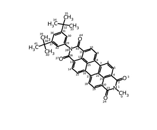 CN1C(=O)c2ccc3c4ccc5c6c(ccc(c7ccc(c2c37)C1=O)c64)C(=O)N(c1cc(C(C)(C)C)cc(C(C)(C)C)c1)C5=O